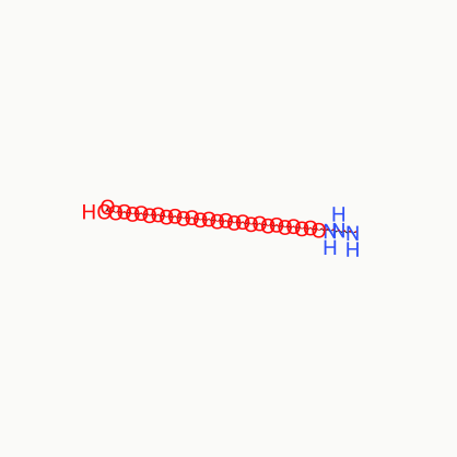 CNCCCCNCCNCCCOCCOCCOCCOCCOCCOCCOCCOCCOCCOCCOCCOCCOCCOCCOCCOCCOCCOCCOCCOCCOCCOCCOCCOCCOCCC(=O)O